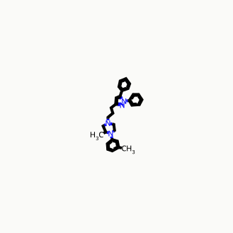 Cc1cccc(N2CCN(CCCc3cc(-c4ccccc4)n(-c4ccccc4)n3)CC2C)c1